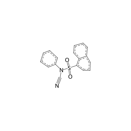 N#CN(c1ccccc1)S(=O)(=O)c1cccc2ccccc12